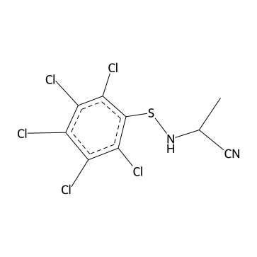 CC(C#N)NSc1c(Cl)c(Cl)c(Cl)c(Cl)c1Cl